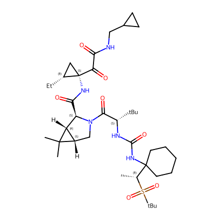 CC[C@@H]1C[C@@]1(NC(=O)[C@@H]1[C@@H]2[C@H](CN1C(=O)[C@@H](NC(=O)NC1([C@@H](C)S(=O)(=O)C(C)(C)C)CCCCC1)C(C)(C)C)C2(C)C)C(=O)C(=O)NCC1CC1